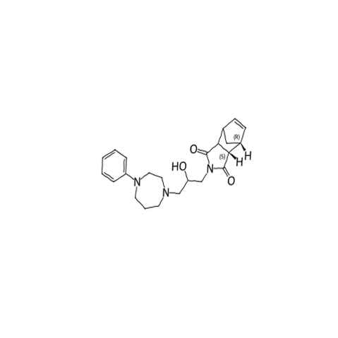 O=C1C2C3C=C[C@@H](C3)[C@@H]2C(=O)N1CC(O)CN1CCCN(c2ccccc2)CC1